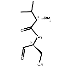 CC(C)[C@H](N)C(=O)N[C@H]([C]=O)CO